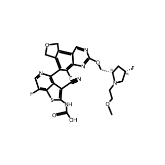 COCCN1C[C@@H](F)C[C@H]1COc1ncc2c3c(c(-c4ncc(F)c5sc(NC(=O)O)c(C#N)c45)c(F)c2n1)COC3